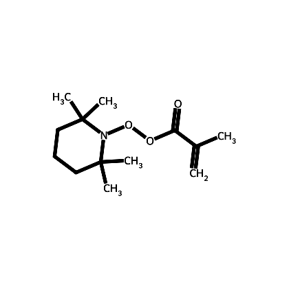 C=C(C)C(=O)OON1C(C)(C)CCCC1(C)C